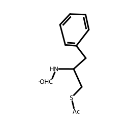 CC(=O)SCC(Cc1ccccc1)N[C]=O